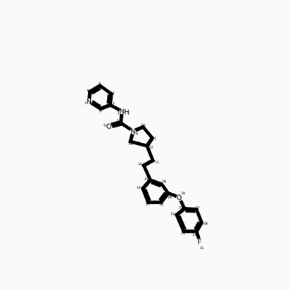 O=C(Nc1cccnc1)N1CCC(CCc2cccc(Oc3ccc(F)cc3)c2)C1